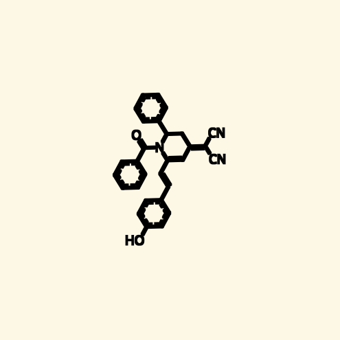 N#CC(C#N)=C1C=C(/C=C/c2ccc(O)cc2)N(C(=O)c2ccccc2)C(c2ccccc2)C1